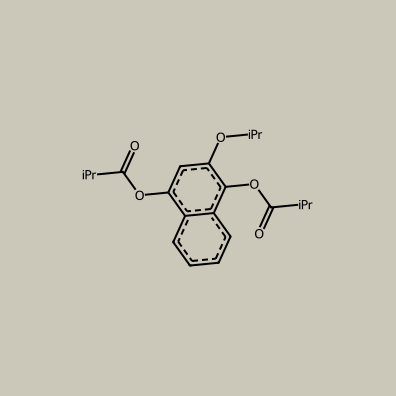 CC(C)Oc1cc(OC(=O)C(C)C)c2ccccc2c1OC(=O)C(C)C